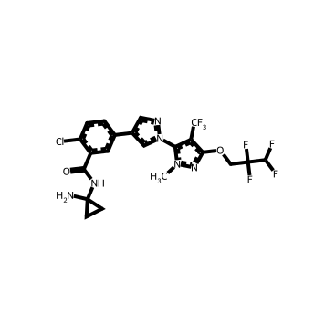 Cn1nc(OCC(F)(F)C(F)F)c(C(F)(F)F)c1-n1cc(-c2ccc(Cl)c(C(=O)NC3(N)CC3)c2)cn1